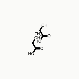 C.O=C(O)CO.O=C(O)CO